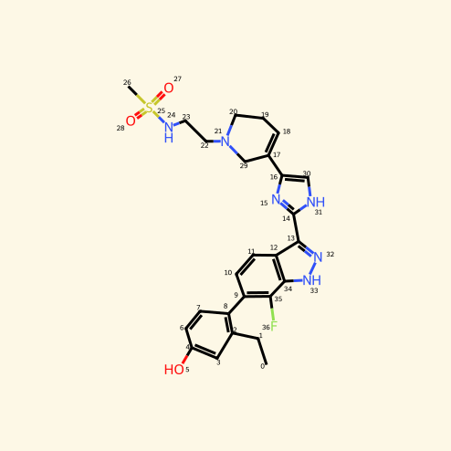 CCc1cc(O)ccc1-c1ccc2c(-c3nc(C4=CCCN(CCNS(C)(=O)=O)C4)c[nH]3)n[nH]c2c1F